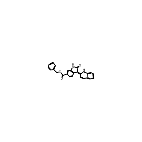 O=C1Nc2cc(C(=O)OCc3ccccc3)ccc2C1=C1C=Cc2ccccc2N1